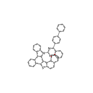 c1ccc(-c2ccc(-c3nc(-n4c5ccccc5c5c6ccccc6c6sc7ccc8ccccc8c7c6c54)nc4ccccc34)cc2)cc1